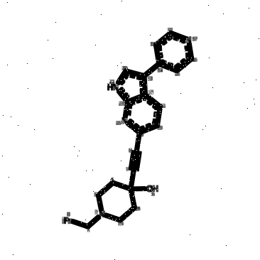 CC(C)CN1CCC(O)(C#Cc2ccc3c(-c4ccncc4)c[nH]c3n2)CC1